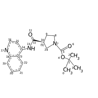 CC(C)(C)OC(=O)N1CC[C@H](C(=O)Nc2ccnc3ccccc23)C1